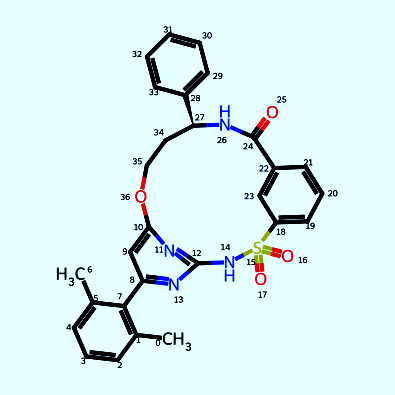 Cc1cccc(C)c1-c1cc2nc(n1)NS(=O)(=O)c1cccc(c1)C(=O)N[C@H](c1ccccc1)CCO2